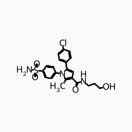 Cc1c(C(=O)NCCCO)cc(-c2ccc(Cl)cc2)n1-c1ccc(S(N)(=O)=O)cc1